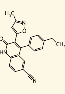 CCc1ccc(-c2c(-c3cc(C)no3)c(=O)[nH]c3ccc(C#N)cc23)cc1